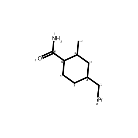 CC(C)CC1CCC(C(N)=O)C(C)C1